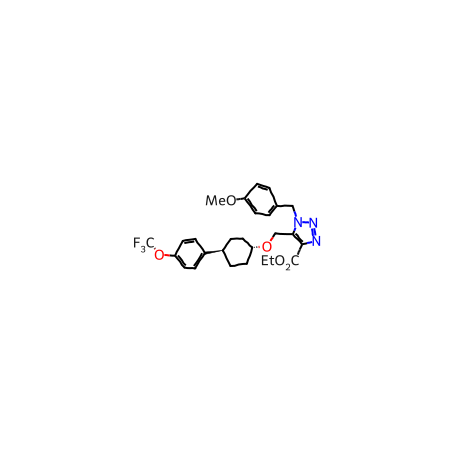 CCOC(=O)c1nnn(Cc2ccc(OC)cc2)c1CO[C@H]1CC[C@H](c2ccc(OC(F)(F)F)cc2)CC1